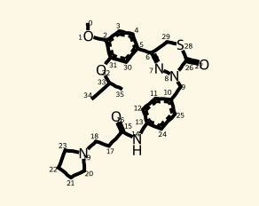 COc1ccc(C2=NN(Cc3ccc(NC(=O)CCN4CCCC4)cc3)C(=O)SC2)cc1OC(C)C